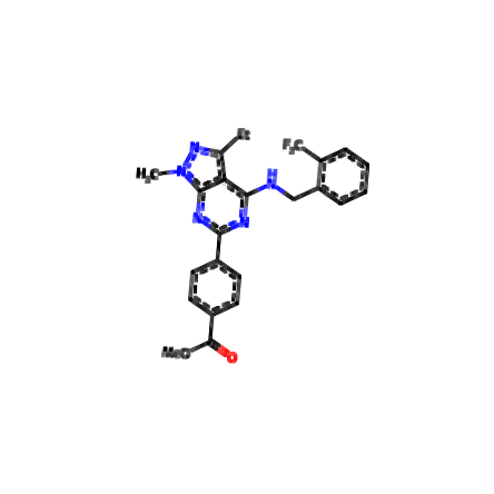 CCc1nn(C)c2nc(-c3ccc(C(=O)OC)cc3)nc(NCc3ccccc3C(F)(F)F)c12